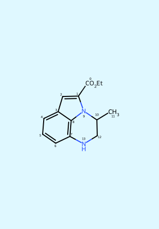 CCOC(=O)c1cc2cccc3c2n1C(C)CN3